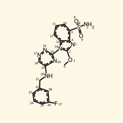 COc1nc2c(S(N)(=O)=O)cccc2n1-c1nncc(NCc2cccc(F)c2)n1